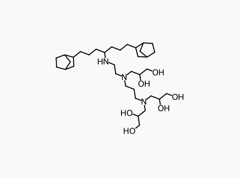 OCC(O)CN(CCCN(CC(O)CO)CC(O)CO)CCNC(CCCC1CC2CCC1C2)CCCC1CC2CCC1C2